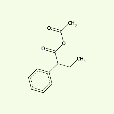 CCC(C(=O)OC(C)=O)c1ccccc1